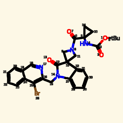 CC(C)(C)OC(=O)NC1(C(=O)N2CC3(C2)C(=O)N(Cc2ncc4ccccc4c2Br)c2ccccc23)CC1